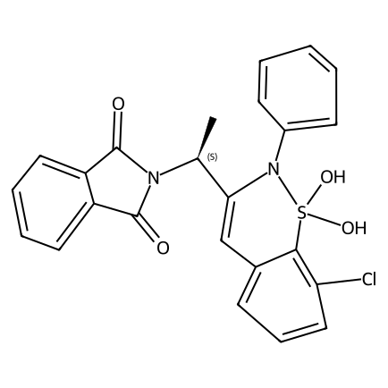 C[C@@H](C1=Cc2cccc(Cl)c2S(O)(O)N1c1ccccc1)N1C(=O)c2ccccc2C1=O